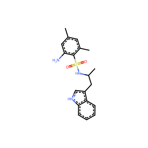 Cc1cc(C)c(S(=O)(=O)NC(C)Cc2c[nH]c3ccccc23)c(N)c1